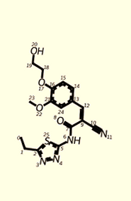 CCc1nnc(NC(=O)C(C#N)=Cc2ccc(OCCO)c(OC)c2)s1